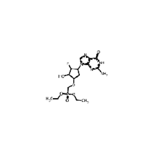 CCOP(=O)(COC1CC(n2cnc3c(=O)[nH]c(N)nc32)C(F)C1O)OCC